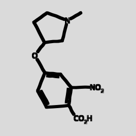 CN1CCC(Oc2ccc(C(=O)O)c([N+](=O)[O-])c2)C1